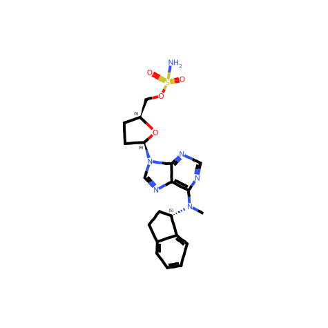 CN(c1ncnc2c1ncn2[C@H]1CC[C@@H](COS(N)(=O)=O)O1)[C@H]1CCc2ccccc21